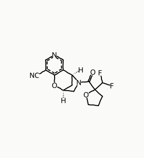 N#Cc1cncc2c1O[C@H]1C[C@@H]2N(C(=O)C2(C(F)F)CCCO2)C1